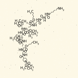 CCCCCOC(=O)[C@@H](CCC(=O)NCC(=O)NCC(=O)NCCCCCCN)NC(=O)CC[C@@H](NC(=O)[C@@H](CCC(=O)OC(C)(C)C)NC(=O)CC[C@@H](NC(=O)CC[C@@H](NC(=O)CNC(=O)C1CCN(C(=O)OC(C)(C)C)CC1)C(=O)OCCCCC)C(=O)OC(C)(C)C)C(=O)OC(C)(C)C